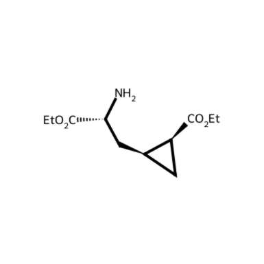 CCOC(=O)[C@H](N)C[C@@H]1C[C@@H]1C(=O)OCC